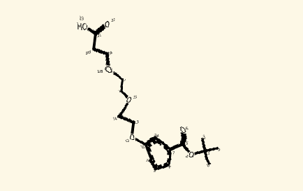 CC(C)(C)OC(=O)c1cccc(OCCOCCOCCC(=O)O)c1